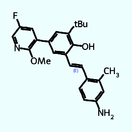 COc1ncc(F)cc1-c1cc(/C=C/c2ccc(N)cc2C)c(O)c(C(C)(C)C)c1